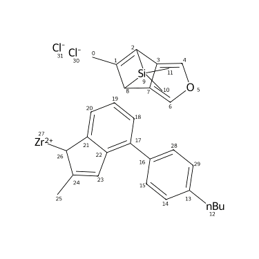 CC1=C2c3cocc3C1[Si]2(C)C.CCCCc1ccc(-c2cccc3c2C=C(C)[CH]3[Zr+2])cc1.[Cl-].[Cl-]